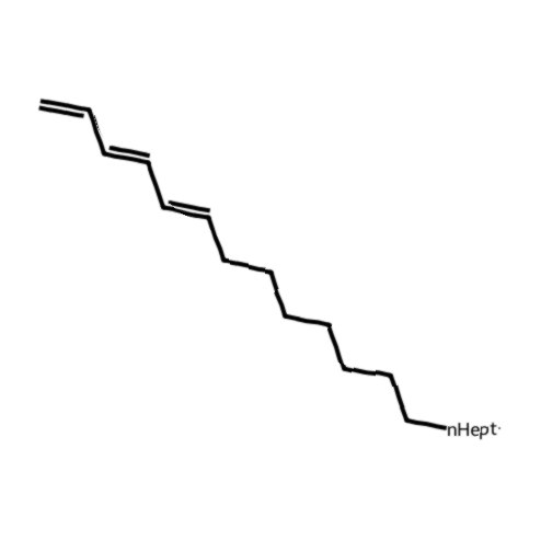 C=CC=CC=CCCCCCCC[CH]CCCCCC